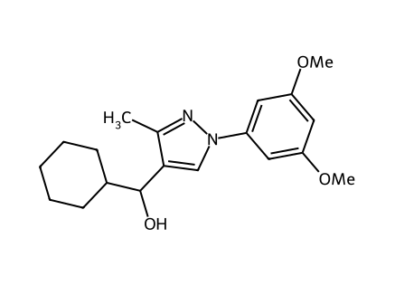 COc1cc(OC)cc(-n2cc(C(O)C3CCCCC3)c(C)n2)c1